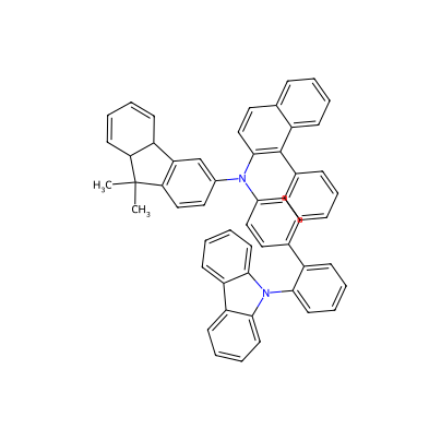 CC1(C)c2ccc(N(c3ccc(-c4ccccc4-n4c5ccccc5c5ccccc54)cc3)c3ccc4ccccc4c3-c3ccccc3)cc2C2C=CC=CC21